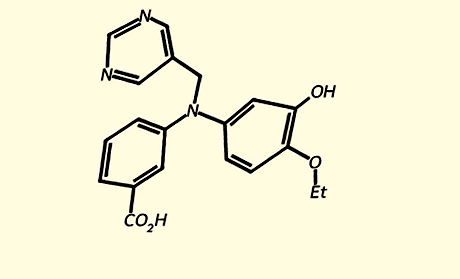 CCOc1ccc(N(Cc2cncnc2)c2cccc(C(=O)O)c2)cc1O